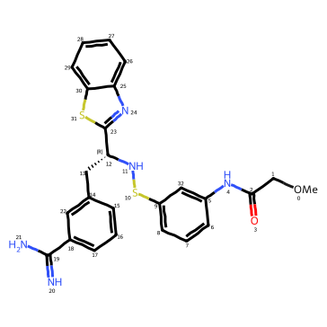 COCC(=O)Nc1cccc(SN[C@H](Cc2cccc(C(=N)N)c2)c2nc3ccccc3s2)c1